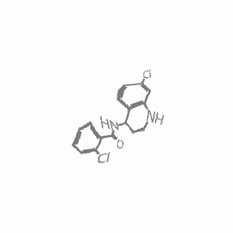 O=C(NC1CCNc2cc(Cl)ccc21)c1ccccc1Cl